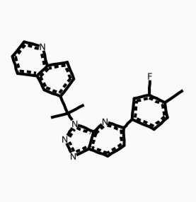 Cc1ccc(-c2ccc3nnn(C(C)(C)c4ccc5ncccc5c4)c3n2)cc1F